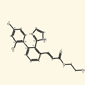 CCCOC(=O)C=Cc1cccc(-c2ccc(Cl)cc2Cl)c1-c1ncc[nH]1